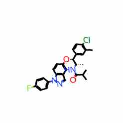 Cc1cc([C@@H](Oc2ccc3c(cnn3-c3ccc(F)cc3)c2)[C@H](C)NC(=O)C(C)C)ccc1Cl